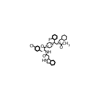 CC(=O)N(CC1CCCCC1)CC(c1ccccc1F)N1CCN(C(=O)[C@@H](Cc2ccc(Cl)cc2)NC(=O)CC2NCc3ccccc32)CC1